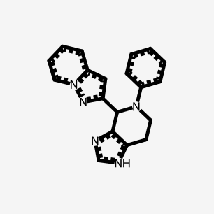 c1ccc(N2CCc3[nH]cnc3C2c2cc3ccccn3n2)cc1